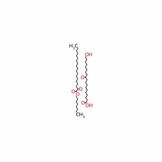 CCCCCCCCCCCCCCCCCC(=O)C(=O)OCCCCCCCC.O=C(O)CCCCCCCCCC(=O)CCCCCCCCO